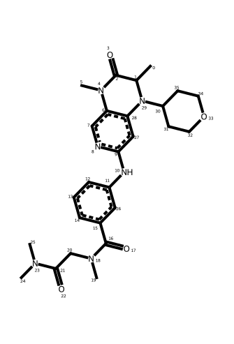 CC1C(=O)N(C)c2cnc(Nc3cccc(C(=O)N(C)CC(=O)N(C)C)c3)cc2N1C1CCOCC1